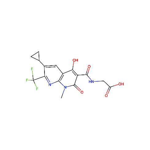 Cn1c(=O)c(C(=O)NCC(=O)O)c(O)c2cc(C3CC3)c(C(F)(F)F)nc21